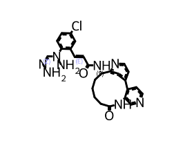 N/N=C\N(N)c1ccc(Cl)cc1/C=C/C(=O)N[C@H]1CCCCC(=O)Nc2cnccc2-c2ccnc1c2